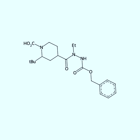 CCN(NC(=O)OCc1ccccc1)C(=O)C1CCN(C(=O)O)C(C(C)(C)C)C1